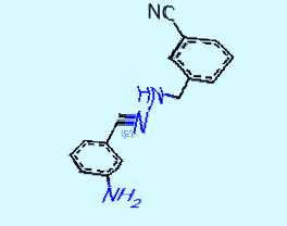 N#Cc1cccc(CN/N=C/c2cccc(N)c2)c1